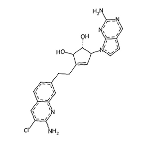 Nc1ncc2ccn(C3C=C(CCc4ccc5cc(Cl)c(N)nc5c4)C(O)[C@@H]3O)c2n1